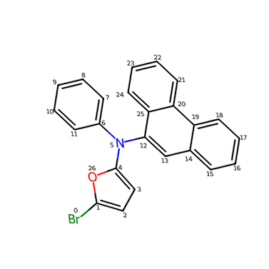 Brc1ccc(N(c2ccccc2)c2cc3ccccc3c3ccccc23)o1